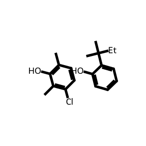 CCC(C)(C)c1ccccc1O.Cc1ccc(Cl)c(C)c1O